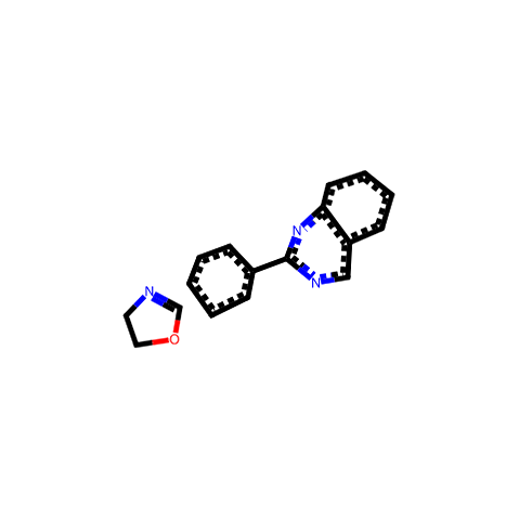 C1=NCCO1.c1ccc(-c2ncc3ccccc3n2)cc1